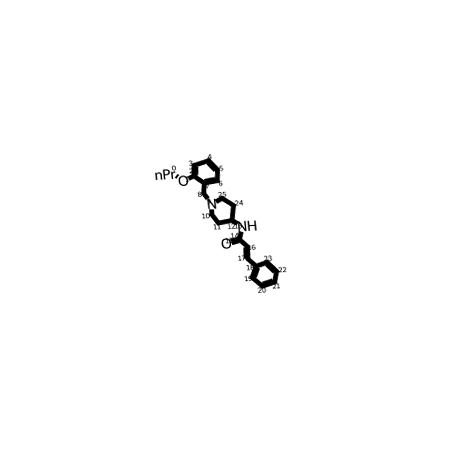 CCCOc1ccccc1CN1CCC(NC(=O)C=Cc2ccccc2)CC1